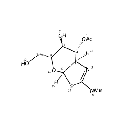 CNC1=N[C@@H]2[C@@H](OC(C)=O)[C@H](O)[C@@H](CO)O[C@@H]2S1